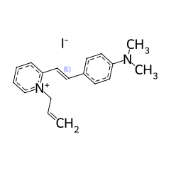 C=CC[n+]1ccccc1/C=C/c1ccc(N(C)C)cc1.[I-]